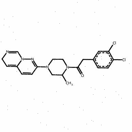 CC1CN(C2=NN3C=NCC=C3C=C2)CCN1C(=O)Cc1ccc(Cl)c(Cl)c1